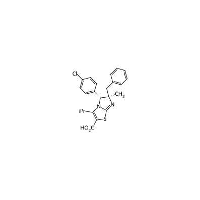 CC(C)C1=C(C(=O)O)SC2=N[C@](C)(Cc3ccccc3)[C@@H](c3ccc(Cl)cc3)N21